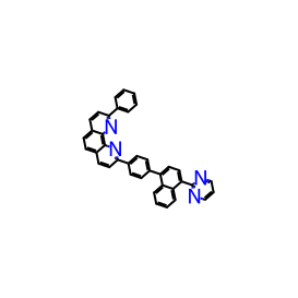 c1ccc(-c2ccc3ccc4ccc(-c5ccc(-c6ccc(-c7ncccn7)c7ccccc67)cc5)nc4c3n2)cc1